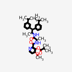 COc1ccnc(C(=O)N[C@@H](C)C(=O)N[C@@H](C)C(c2cccc(C(C)C)c2)c2cccc(C(C)C)c2)c1OC(=O)C(C)C